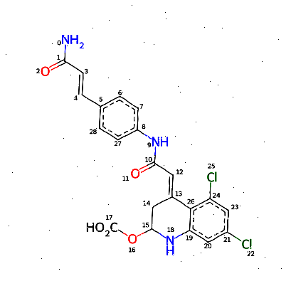 NC(=O)/C=C/c1ccc(NC(=O)/C=C2\CC(OC(=O)O)Nc3cc(Cl)cc(Cl)c32)cc1